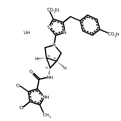 CCOC(=O)c1sc(N2C[C@@H]3[C@H](C2)[C@H]3NC(=O)c2[nH]c(C)c(Cl)c2Cl)nc1Cc1ccc(C(=O)O)cc1.[LiH]